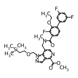 CCOc1c(-c2cc(F)cc(F)c2)ccc(C(=O)N(C)Cc2cnc(C(=O)OC)c3cnn(COCC[Si](C)(C)C)c23)c1F